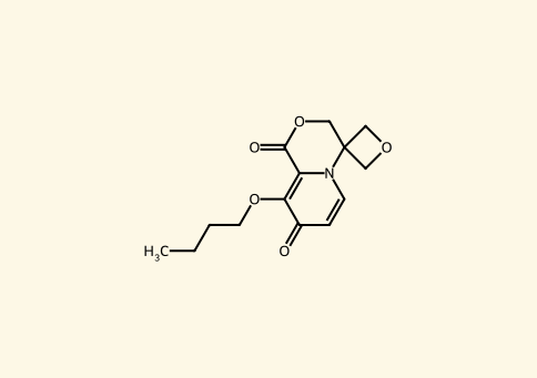 CCCCOc1c2n(ccc1=O)C1(COC1)COC2=O